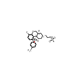 CS(=O)(=O)NCC[C@@H]1CC[C@@]2(S(=O)(=O)c3ccc(C(F)(F)F)cc3)c3c(F)ccc(F)c3OC[C@H]2C1